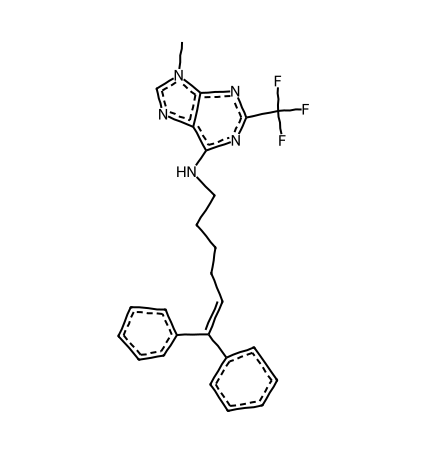 Cn1cnc2c(NCCCCC=C(c3ccccc3)c3ccccc3)nc(C(F)(F)F)nc21